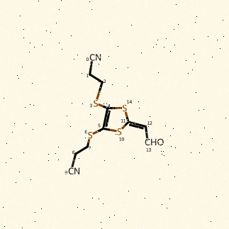 N#CCCSC1=C(SCCC#N)SC(=CC=O)S1